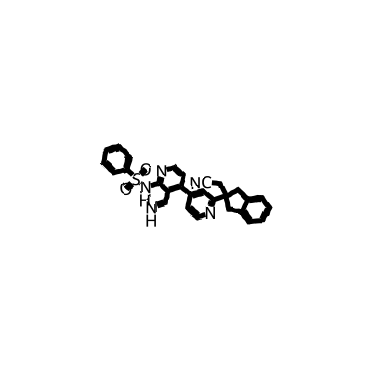 N#CCC1(c2cc(-c3ccnc(NS(=O)(=O)c4ccccc4)c3C=N)ccn2)Cc2ccccc2C1